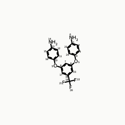 Nc1ccc(Oc2cc(Oc3ccc(N)cc3)cc(C(F)(F)F)c2)cc1